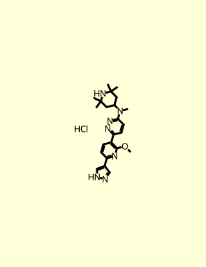 COc1nc(-c2cn[nH]c2)ccc1-c1ccc(N(C)C2CC(C)(C)NC(C)(C)C2)nn1.Cl